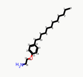 CCCCCCCCCCCCc1ccc(OCCN)cc1